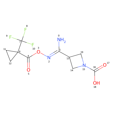 N/C(=N\OC(=O)C1(C(F)(F)F)CC1)C1CN(C(=O)O)C1